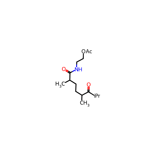 CC(=O)OCCNC(=O)C(C)CCC(C)C(=O)C(C)C